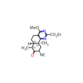 [C-]#[N+]C1C[C@]2(C)c3nc(C(=O)OCC)nc(OC)c3CC[C@H]2[C@H](C)C1=O